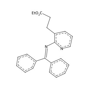 CCOC(=O)CCc1cccnc1N=C(c1ccccc1)c1ccccc1